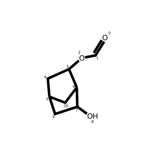 O=COC1CC2CC(O)C1C2